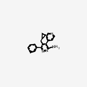 Nc1nnc(-c2ccccc2)c(CC2CC2)c1-c1ccncc1